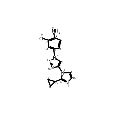 Nc1ccc(-n2cc(-n3ccnc3C3CC3)nn2)cc1Cl